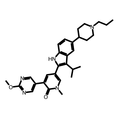 CCCN1CCC(c2ccc3[nH]c(-c4cc(-c5cnc(OC)nc5)c(=O)n(C)c4)c(C(C)C)c3c2)CC1